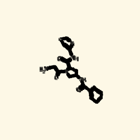 NCC(=O)N1CC(NC(=O)c2ccccc2)CC1C(=O)Nc1cocn1